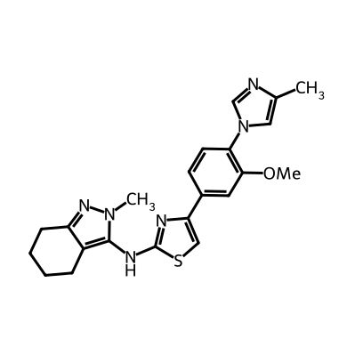 COc1cc(-c2csc(Nc3c4c(nn3C)CCCC4)n2)ccc1-n1cnc(C)c1